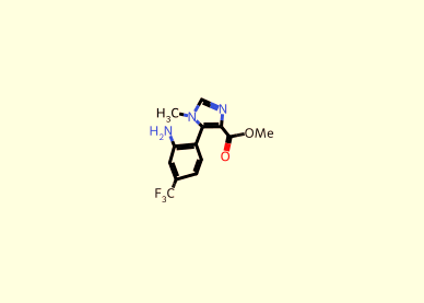 COC(=O)c1ncn(C)c1-c1ccc(C(F)(F)F)cc1N